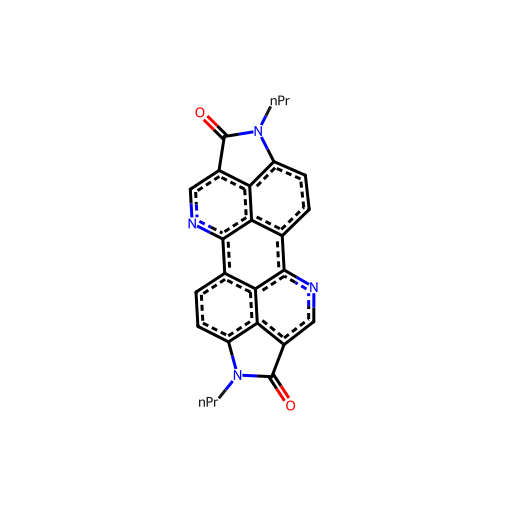 CCCN1C(=O)c2cnc3c4ccc5c6c(cnc(c7ccc1c2c73)c64)C(=O)N5CCC